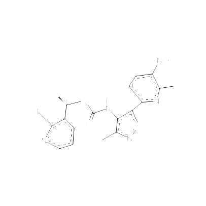 Cc1nc(-c2onc(C)c2NC(=O)O[C@H](C)c2cccnc2Cl)ccc1[N+](=O)[O-]